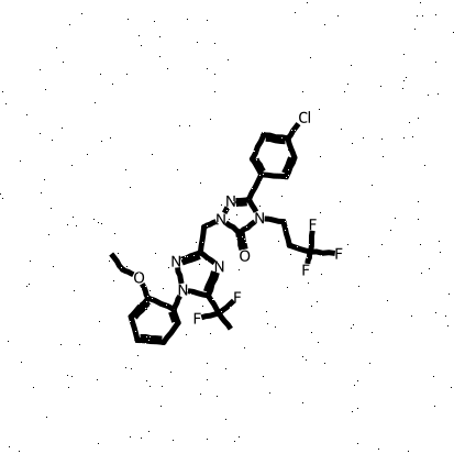 CCOc1ccccc1-n1nc(Cn2nc(-c3ccc(Cl)cc3)n(CCC(F)(F)F)c2=O)nc1C(C)(F)F